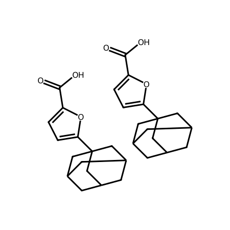 O=C(O)c1ccc(C23CC4CC(CC(C4)C2)C3)o1.O=C(O)c1ccc(C23CC4CC(CC(C4)C2)C3)o1